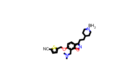 BN1CCC(CCc2noc3c(CN(C)C)c(OCc4ccc(C#N)s4)ccc23)CC1